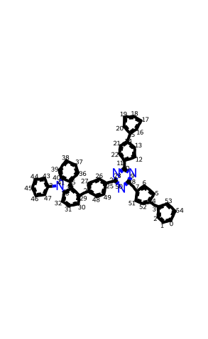 c1ccc(-c2ccc(-c3nc(-c4ccc(-c5ccccc5)cc4)nc(-c4ccc(-c5cccc6c5c5ccccc5n6-c5ccccc5)cc4)n3)cc2)cc1